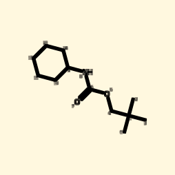 CC(C)(C)COC(=O)NC1CCCCC1